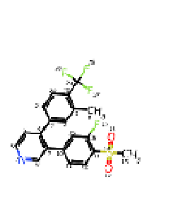 Cc1cc(-c2ccncc2-c2ccc(S(C)(=O)=O)c(F)c2)ccc1C(F)(F)F